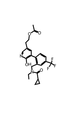 CCN(Cc1cc(C(F)(F)F)ccc1-c1cc(CCOC(C)=O)cnc1O)C(=O)C1CC1